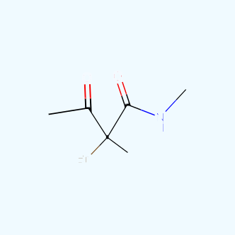 CNC(=O)C(C)(Br)C(C)=O